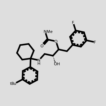 CNC(=O)OC(Cc1cc(F)cc(F)c1)[C@H](O)CNC1(c2cccc(C(C)(C)C)c2)CCCCC1